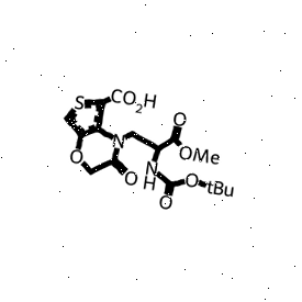 COC(=O)C(CN1C(=O)COc2csc(C(=O)O)c21)NC(=O)OC(C)(C)C